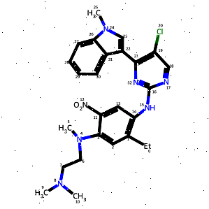 CCc1cc(N(C)CCN(C)C)c([N+](=O)[O-])cc1Nc1ncc(Cl)c(-c2cn(C)c3ccccc23)n1